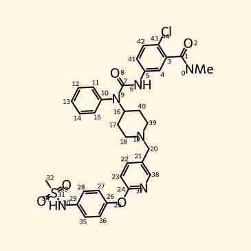 CNC(=O)c1cc(NC(=O)N(c2ccccc2)C2CCN(Cc3ccc(Oc4ccc(NS(C)(=O)=O)cc4)nc3)CC2)ccc1Cl